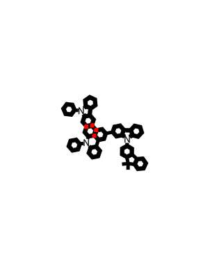 CC1(C)c2ccccc2-c2cc(-n3c4ccccc4c4ccc(-c5cc(-c6ccc7c(c6)c6ccccc6n7-c6ccccc6)cc(-c6ccccc6N(c6ccccc6)c6ccccc6)c5)cc43)ccc21